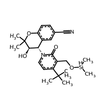 C[SiH](C)OCc1c(C(C)(C)C)ccn([C@H]2c3cc(C#N)ccc3OC(C)(C)[C@@H]2O)c1=O